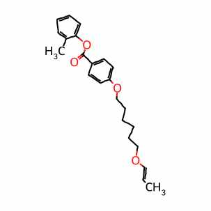 CC=COCCCCCCOc1ccc(C(=O)Oc2ccccc2C)cc1